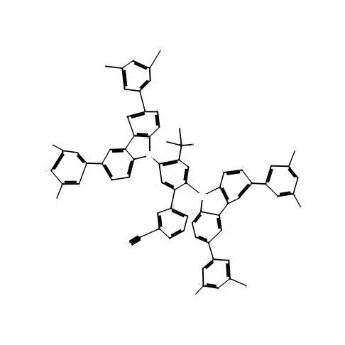 Cc1cc(C)cc(-c2ccc3c(c2)c2cc(-c4cc(C)cc(C)c4)ccc2n3-c2cc(C(F)(F)F)c(-n3c4ccc(-c5cc(C)cc(C)c5)cc4c4cc(-c5cc(C)cc(C)c5)ccc43)cc2-c2cccc(C#N)c2)c1